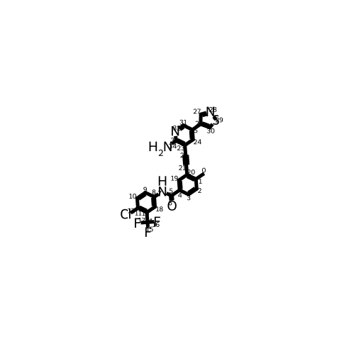 Cc1ccc(C(=O)Nc2ccc(Cl)c(C(F)(F)F)c2)cc1C#Cc1cc(-c2cnsc2)cnc1N